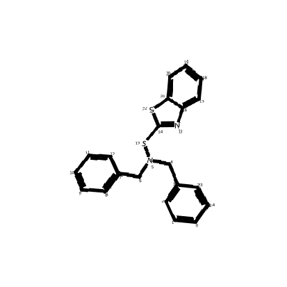 c1ccc(CN(Cc2ccccc2)Sc2nc3ccccc3s2)cc1